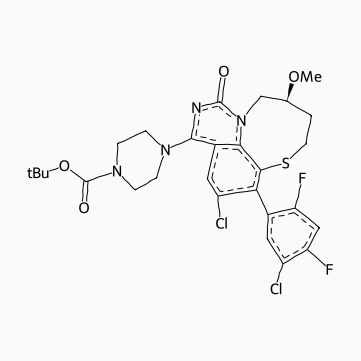 CO[C@H]1CCSc2c(-c3cc(Cl)c(F)cc3F)c(Cl)cc3c(N4CCN(C(=O)OC(C)(C)C)CC4)nc(=O)n(c23)C1